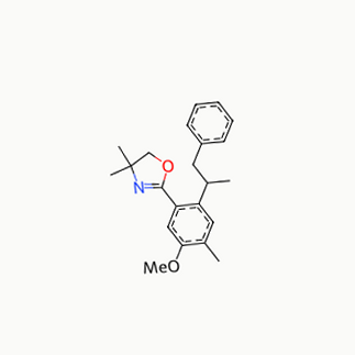 COc1cc(C2=NC(C)(C)CO2)c(C(C)Cc2ccccc2)cc1C